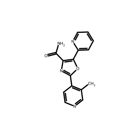 Cc1cnccc1-c1nc(C(N)=O)c(-c2ccccn2)o1